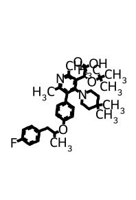 Cc1nc(C)c([C@H](OC(C)(C)C)C(=O)O)c(N2CCC(C)(C)CC2)c1-c1ccc(OC(C)Cc2ccc(F)cc2)cc1